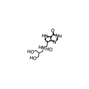 Cl.O=c1[nH]cnc2c(CNCC(CO)CO)c[nH]c12